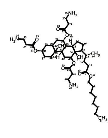 CCCCCCCCOC(=O)CC[C@@H](C)C1CC[C@H]2C3[C@H](OC(=O)CCN)CC4C[C@H](OC(=O)CCN)CCC4(C)[C@H]3CC(OC(=O)CCN)C12C